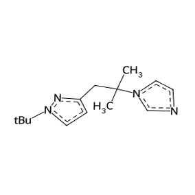 CC(C)(C)n1ccc(CC(C)(C)n2ccnc2)n1